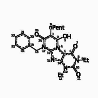 CCCCCc1c(O)n2c3c(=O)n(CC)c(=O)n(CC)c3nc2n(Cc2ccccc2)c1=O